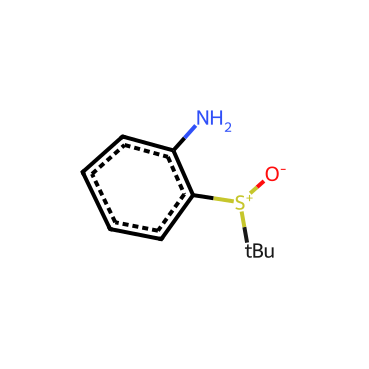 CC(C)(C)[S+]([O-])c1ccccc1N